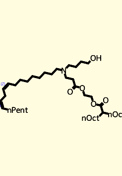 CCCCC/C=C\C/C=C\CCCCCCCCN(CCCCO)CCC(=O)OCCOC(=O)C(CCCCCCCC)CCCCCCCC